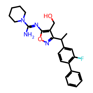 CC(c1ccc(-c2ccccc2)c(F)c1)c1noc(/N=C(\N)N2CCCCC2)c1CO